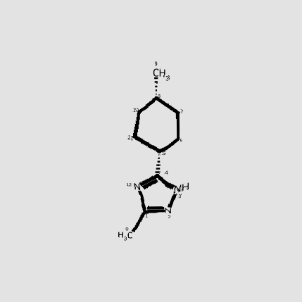 Cc1n[nH]c([C@H]2CC[C@@H](C)CC2)n1